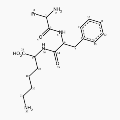 CC(C)C(N)C(=O)NC(Cc1ccccc1)C(=O)NC(CCCCN)C(=O)O